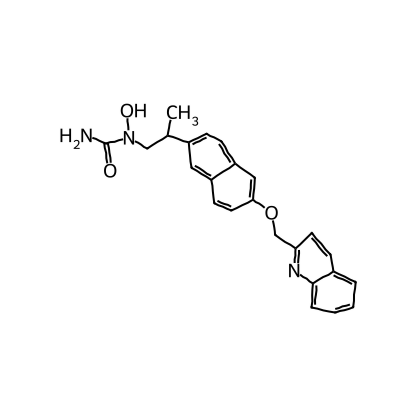 CC(CN(O)C(N)=O)c1ccc2cc(OCc3ccc4ccccc4n3)ccc2c1